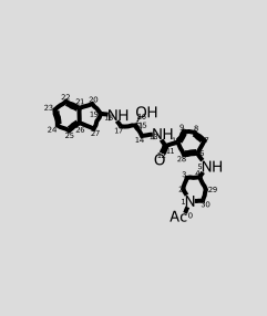 CC(=O)N1CCC(Nc2cccc(C(=O)NC[C@@H](O)CNC3Cc4ccccc4C3)c2)CC1